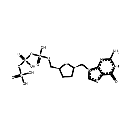 Nc1nc2c(ncn2C[C@H]2CC[C@@H](COP(=O)(O)OP(=O)(O)OP(=O)(O)O)S2)c(=O)[nH]1